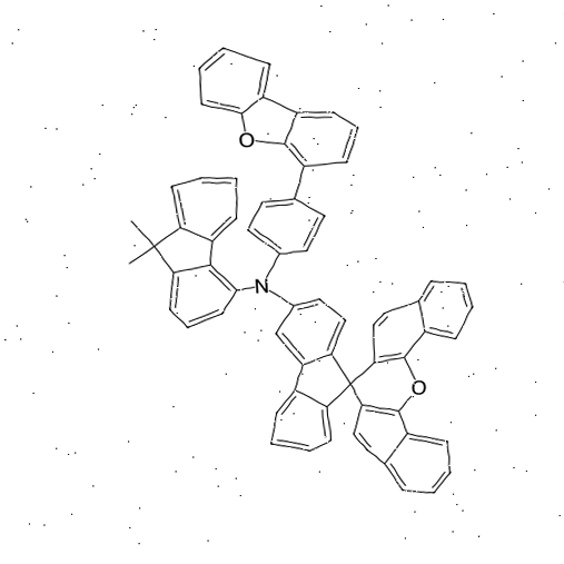 CC1(C)c2ccccc2-c2c(N(c3ccc(-c4cccc5c4oc4ccccc45)cc3)c3ccc4c(c3)-c3ccccc3C43c4ccc5ccccc5c4Oc4c3ccc3ccccc43)cccc21